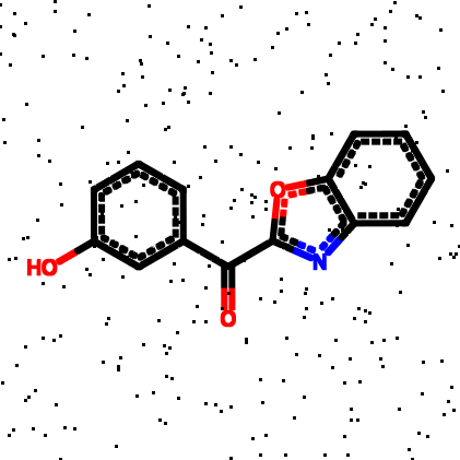 O=C(c1cccc(O)c1)c1nc2ccccc2o1